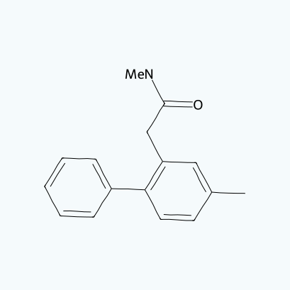 CNC(=O)Cc1cc(C)ccc1-c1ccccc1